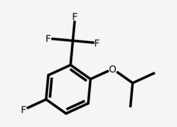 CC(C)Oc1ccc(F)cc1C(F)(F)F